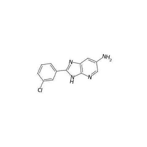 Nc1cnc2[nH]c(-c3cccc(Cl)c3)nc2c1